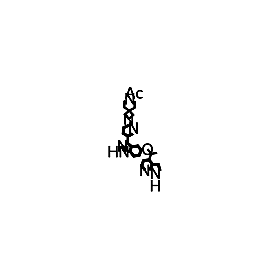 CC(=O)N1CCC2(CC1)CN(c1ccc(-c3n[nH]c4ccc(OC(C)c5ccnc6[nH]ccc56)cc34)cn1)C2